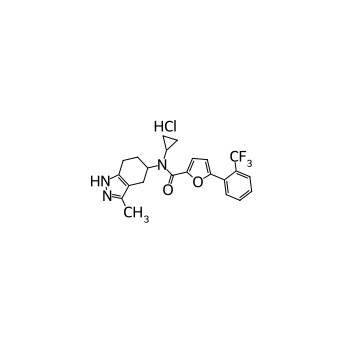 Cc1n[nH]c2c1CC(N(C(=O)c1ccc(-c3ccccc3C(F)(F)F)o1)C1CC1)CC2.Cl